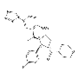 COc1ccc(-n2cnnn2)cc1N(C)[C@H]1CC[C@H](C(=O)N2CCOCC2)[C@H]1c1ccc(F)cc1